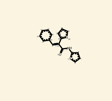 O=C(Nc1cccs1)/C(=C/c1ccccc1)c1cccs1